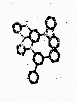 c1ccc(-c2cc(-c3ccccc3)cc(N3c4cc(-n5c6ccccc6c6ccccc65)cc5c4B(n4cccc4N5)n4cccc43)c2)cc1